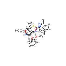 CC(C)Oc1cc(C(=O)O)cc2sc(N[C@@H]3[C@@H]4CC[C@H]3C[C@@H](OCc3c(-c5ccccc5OC(F)(F)F)noc3C3CC3)C4)nc12